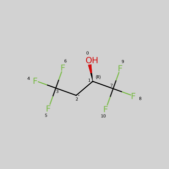 O[C@H]([CH]C(F)(F)F)C(F)(F)F